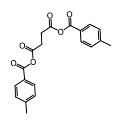 Cc1ccc(C(=O)OC(=O)CCC(=O)OC(=O)c2ccc(C)cc2)cc1